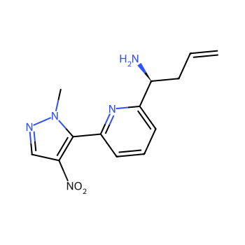 C=CC[C@H](N)c1cccc(-c2c([N+](=O)[O-])cnn2C)n1